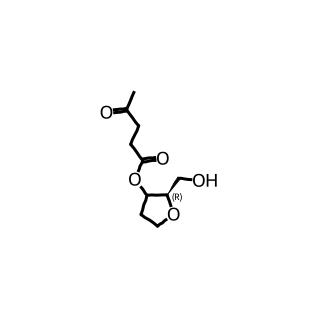 CC(=O)CCC(=O)OC1CCO[C@@H]1CO